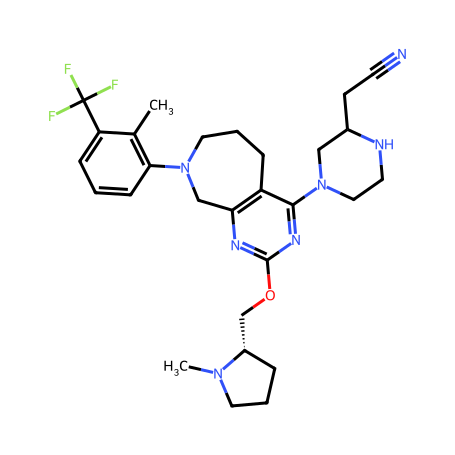 Cc1c(N2CCCc3c(nc(OC[C@@H]4CCCN4C)nc3N3CCNC(CC#N)C3)C2)cccc1C(F)(F)F